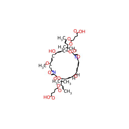 C/C=C/[C@H](OC(=O)CCCC(=O)O)C(C)(C)[C@@H]1C/C=C\C(O)C/C=C/[C@H](OC)Cc2nc(co2)C(=O)O[C@H](C(C)(C)[C@H](/C=C/C)OC(=O)CCCC(=O)O)C/C=C\[C@H]2O[C@H]2/C=C/C=C\c2nc(co2)C(=O)O1